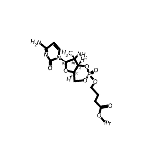 CC(C)OC(=O)CCCOP1(=O)OC[C@H]2O[C@@H](n3ccc(N)nc3=O)[C@](C)(N)[C@@H]2O1